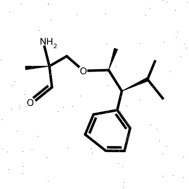 CC(C)[C@@H](c1ccccc1)[C@H](C)OC[C@@](C)(N)C=O